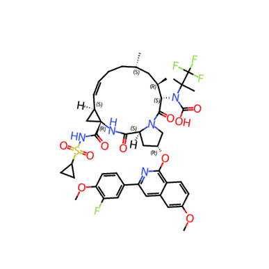 COc1ccc2c(O[C@@H]3C[C@H]4C(=O)N[C@]5(C(=O)NS(=O)(=O)C6CC6)C[C@H]5C=CCC[C@H](C)C[C@@H](C)[C@H](N(C(=O)O)C(C)(C)C(F)(F)F)C(=O)N4C3)nc(-c3ccc(OC)c(F)c3)cc2c1